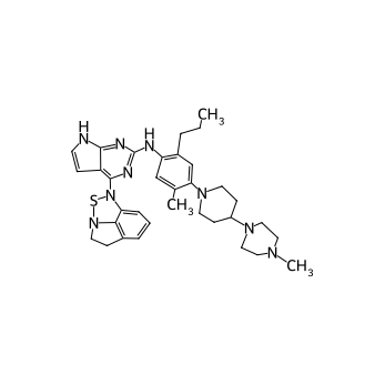 CCCc1cc(N2CCC(N3CCN(C)CC3)CC2)c(C)cc1Nc1nc(N2SN3CCc4cccc2c43)c2cc[nH]c2n1